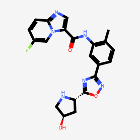 Cc1ccc(-c2noc([C@@H]3C[C@@H](O)CN3)n2)cc1NC(=O)c1cnc2ccc(F)cn12